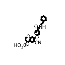 N#Cc1cc2c(cc1Oc1ccc(C(=O)NCCc3ccccc3)cc1)OCCC2OC(=O)O